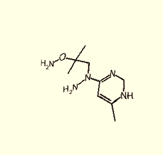 CC1=CC(N(N)CC(C)(C)ON)=NCN1